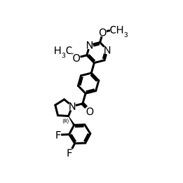 COc1ncc(-c2ccc(C(=O)N3CCC[C@@H]3c3cccc(F)c3F)cc2)c(OC)n1